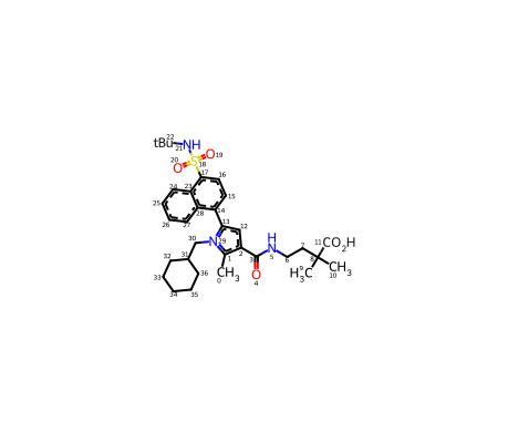 Cc1c(C(=O)NCCC(C)(C)C(=O)O)cc(-c2ccc(S(=O)(=O)NC(C)(C)C)c3ccccc23)n1CC1CCCCC1